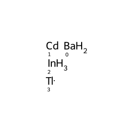 [BaH2].[Cd].[InH3].[Tl]